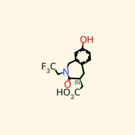 O=C(O)C[C@@H]1Cc2ccc(O)cc2CN(CC(F)(F)F)C1=O